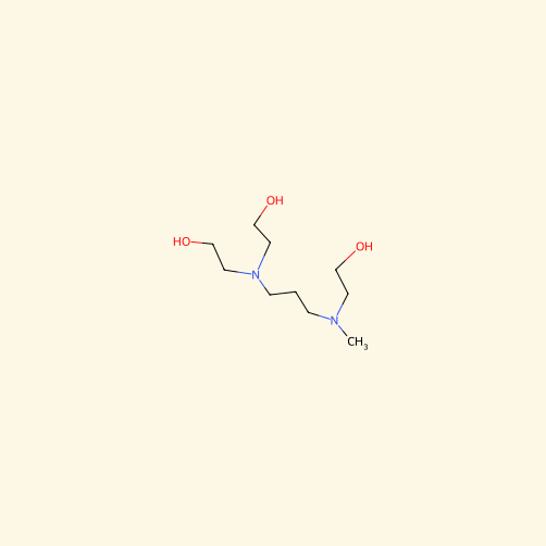 CN(CCO)CCCN(CCO)CCO